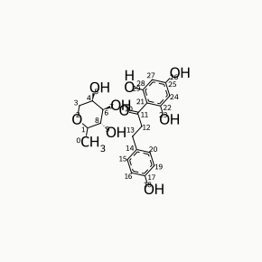 CC1OC[C@@H](O)[C@@H](O)[C@@H]1O.O=C(CCc1ccc(O)cc1)c1c(O)cc(O)cc1O